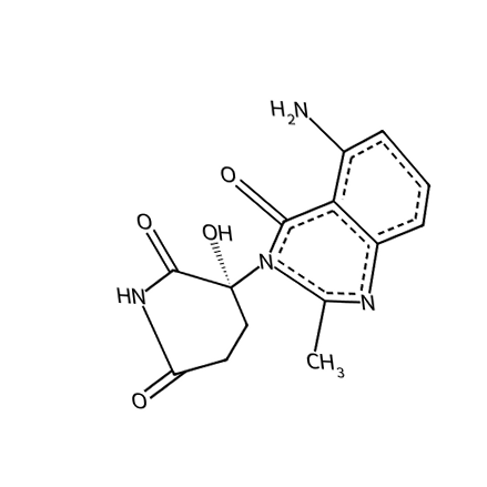 Cc1nc2cccc(N)c2c(=O)n1[C@@]1(O)CCC(=O)NC1=O